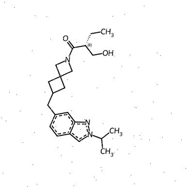 CC[C@H](CO)C(=O)N1CC2(CC(Cc3ccc4cn(C(C)C)nc4c3)C2)C1